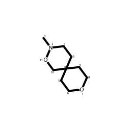 CN1CCC2(CCOCC2)CO1